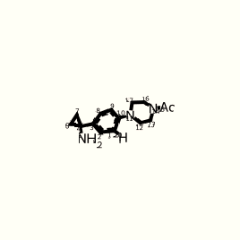 [2H]c1cc(C2(N)CC2)ccc1N1CCN(C(C)=O)CC1